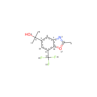 Cc1nc2cc(C(C)(C)O)cc(C(F)(F)F)c2o1